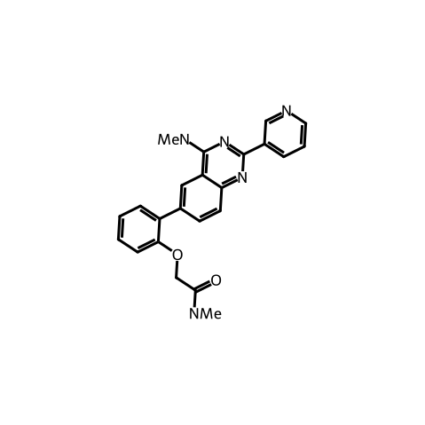 CNC(=O)COc1ccccc1-c1ccc2nc(-c3cccnc3)nc(NC)c2c1